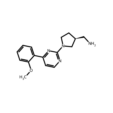 COc1ccccc1-c1ccnc(N2CC[C@@H](CN)C2)n1